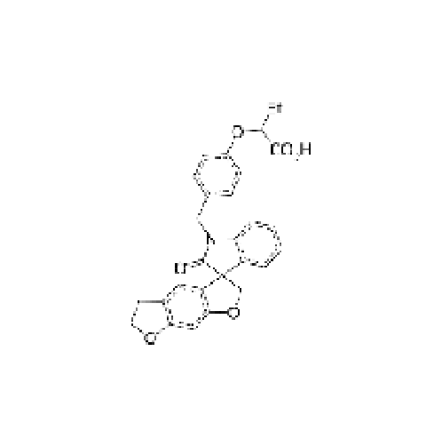 CCC(Oc1ccc(CN2C(=O)C3(COc4cc5c(cc43)CCO5)c3ccccc32)cc1)C(=O)O